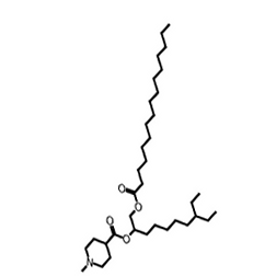 CCCCCCCCCCCCCCCC(=O)OCC(CCCCCC(CC)CC)OC(=O)C1CCN(C)CC1